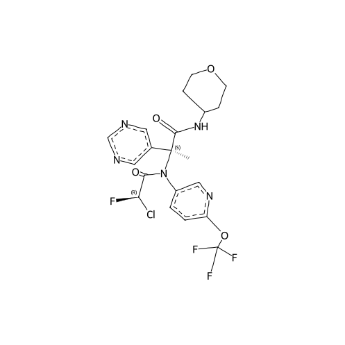 C[C@@](C(=O)NC1CCOCC1)(c1cncnc1)N(C(=O)[C@H](F)Cl)c1ccc(OC(F)(F)F)nc1